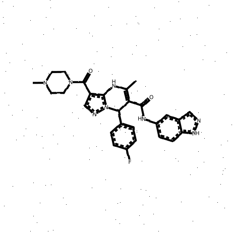 CC1=C(C(=O)Nc2ccc3[nH]ncc3c2)C(c2ccc(F)cc2)n2ncc(C(=O)N3CCN(C)CC3)c2N1